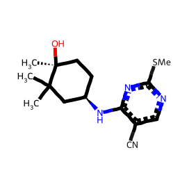 CSc1ncc(C#N)c(N[C@@H]2CC[C@](C)(O)C(C)(C)C2)n1